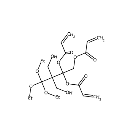 C=CC(=O)OCC(OC(=O)C=C)(OC(=O)C=C)C(CO)(CO)C(OCC)(OCC)OCC